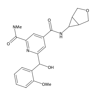 CNC(=O)c1cc(C(=O)NC2C3COCC32)cc(C(O)c2ccccc2OC)n1